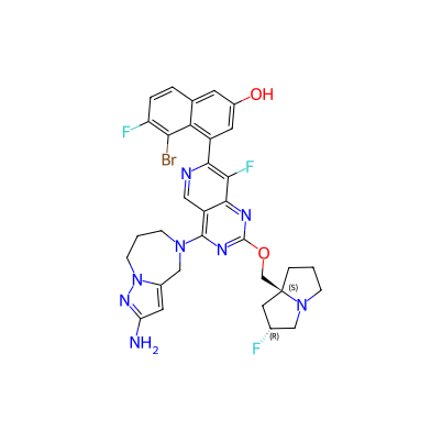 Nc1cc2n(n1)CCCN(c1nc(OC[C@@]34CCCN3C[C@H](F)C4)nc3c(F)c(-c4cc(O)cc5ccc(F)c(Br)c45)ncc13)C2